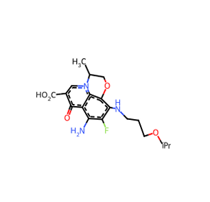 CC(C)OCCCNc1c(F)c(N)c2c(=O)c(C(=O)O)cn3c2c1OCC3C